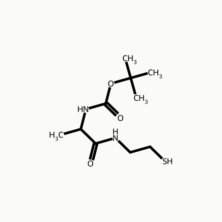 CC(NC(=O)OC(C)(C)C)C(=O)NCCS